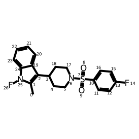 Cc1c(C2CCN(S(=O)(=O)c3ccc(F)cc3)CC2)c2ccccc2n1F